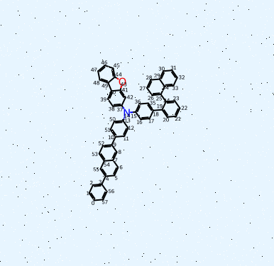 c1ccc(-c2ccc3cc(-c4ccc(N(c5ccc(-c6ccccc6-c6cccc7ccccc67)cc5)c5ccc6c(c5)oc5ccccc56)cc4)ccc3c2)cc1